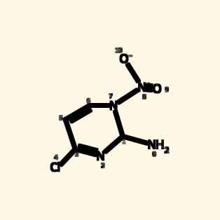 NC1N=C(Cl)C=CN1[N+](=O)[O-]